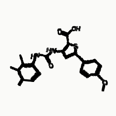 COc1ccc(-c2cc(NC(=O)Nc3ccc(C)c(C)c3C)c(C(=O)O)s2)cc1